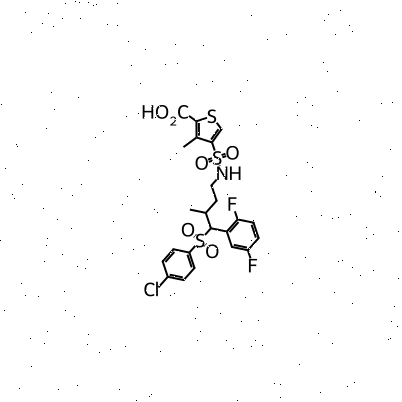 Cc1c(S(=O)(=O)NCCC(C)C(c2cc(F)ccc2F)S(=O)(=O)c2ccc(Cl)cc2)csc1C(=O)O